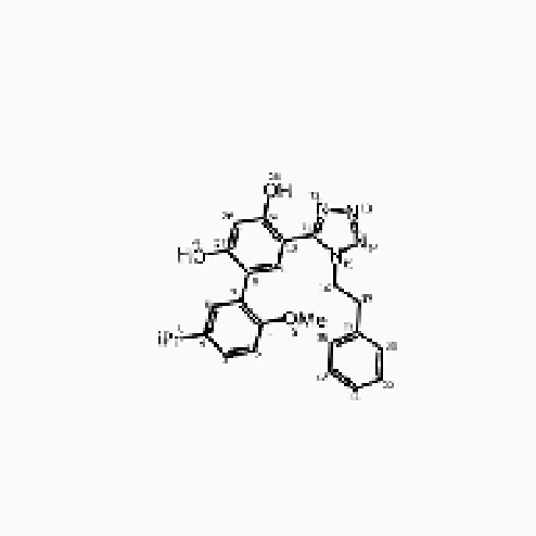 COc1ccc(C(C)C)cc1-c1cc(-c2nnnn2CCc2ccccc2)c(O)cc1O